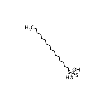 CCCCCCCCCCCCCCCCSP(O)(O)=S